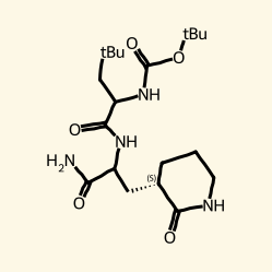 CC(C)(C)CC(NC(=O)OC(C)(C)C)C(=O)NC(C[C@@H]1CCCNC1=O)C(N)=O